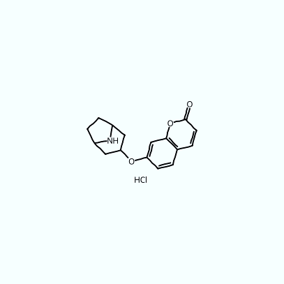 Cl.O=c1ccc2ccc(OC3CC4CCC(C3)N4)cc2o1